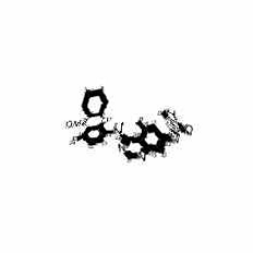 CO[C@@H]1CCCC[C@H]1Oc1cc(F)ccc1Nc1ncnc2cc(/N=[SH](\C)=O)cc(C)c12